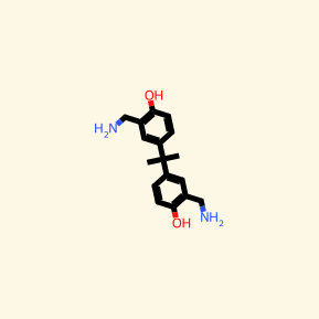 CC(C)(c1ccc(O)c(CN)c1)c1ccc(O)c(CN)c1